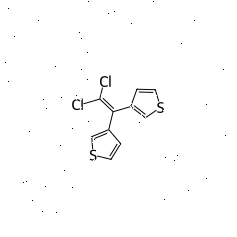 ClC(Cl)=C(c1ccsc1)c1ccsc1